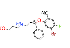 N#Cc1cc(F)c(Br)cc1O[C@H](CCNCCCO)c1ccccc1